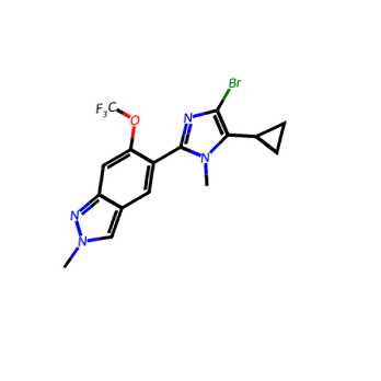 Cn1cc2cc(-c3nc(Br)c(C4CC4)n3C)c(OC(F)(F)F)cc2n1